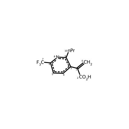 C=C(C(=O)O)c1ccc(C(F)(F)F)nc1CCC